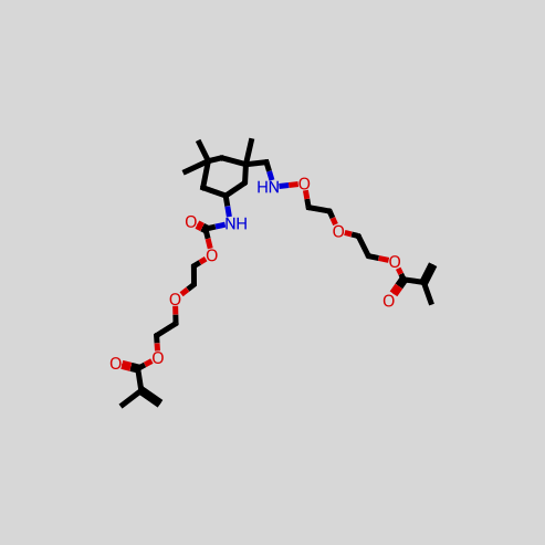 C=C(C)C(=O)OCCOCCONCC1(C)CC(NC(=O)OCCOCCOC(=O)C(=C)C)CC(C)(C)C1